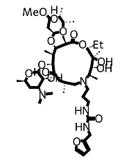 CC[C@H]1OC(=O)[C@H](C)[C@@H](O[C@@H](CCOC)O[C@@H](C)[C@@H](C)O)[C@H](C)[C@@H](O[C@@H]2O[C@H](C)C[C@H](N(C)C)[C@H]2O)[C@](C)(O)C[C@@H](C)CN(CCCNC(=O)NCc2ccco2)[C@H](C)[C@@H](O)[C@]1(C)O